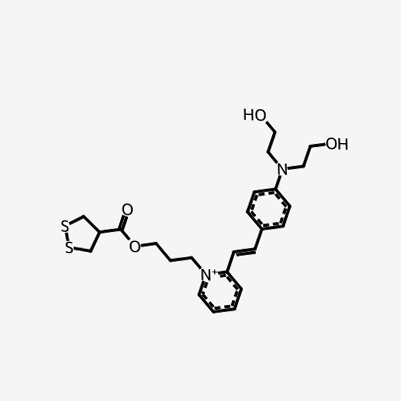 O=C(OCCC[n+]1ccccc1/C=C/c1ccc(N(CCO)CCO)cc1)C1CSSC1